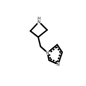 c1cn(CC2CNC2)cn1